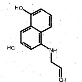 C=CCNc1cccc2c(O)cccc12.Cl